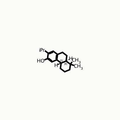 CC(C)c1cc2c(cc1O)[C@H]1CCCC(C)(C)[C@@H]1CC2